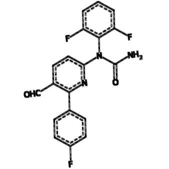 NC(=O)N(c1ccc(C=O)c(-c2ccc(F)cc2)n1)c1c(F)cccc1F